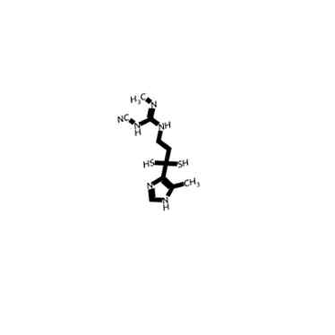 CN=C(NC#N)NCCC(S)(S)c1nc[nH]c1C